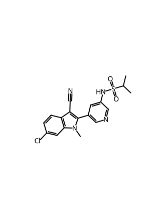 CC(C)S(=O)(=O)Nc1cncc(-c2c(C#N)c3ccc(Cl)cc3n2C)c1